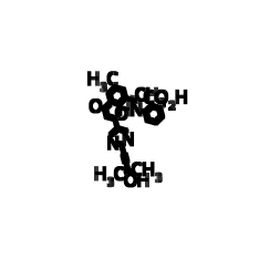 Cc1cc([C@@H](C)Nc2ccccc2C(=O)O)c2oc(-c3cnc(C#CC(C)(C)O)nc3)cc(=O)c2c1